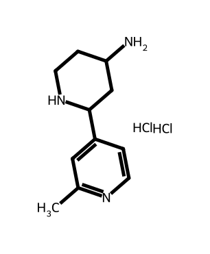 Cc1cc(C2CC(N)CCN2)ccn1.Cl.Cl